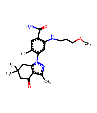 COCCCNc1cc(-n2nc(C)c3c2CC(C)(C)CC3=O)c(C)cc1C(N)=O